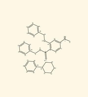 CNc1ccc(C(=O)OCc2ccccc2)c(OCc2ccccc2)c1.c1ccc(C2CCCCC2)cc1